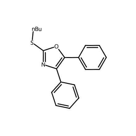 CCCCSc1nc(-c2ccccc2)c(-c2ccccc2)o1